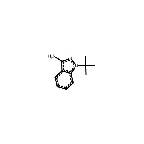 CC(C)(C)n1nc(N)c2ccccc21